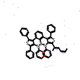 C/C=C\C=C(/C)c1sc(-c2ccccc2)c2c1N(C1=C=C=CC=C1)B1c3c-2cccc3-c2c(-c3ccccc3)sc(-c3ccccc3)c2N1c1ccccc1